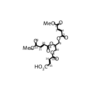 COC(=O)C=CC(=O)OCC(COC(=O)C=CC(=O)O)OC(=O)C=CC(=O)OC